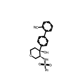 CC(C)S(=O)(=O)N[C@H]1COCC[C@]1(O)c1ccc(-c2ccccc2C#N)cc1